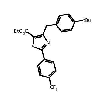 CCOC(=O)c1sc(-c2ccc(C(F)(F)F)cc2)nc1Cc1ccc(C(C)(C)C)cc1